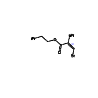 CCC/C(=C/Br)C(=O)OCCC(C)C